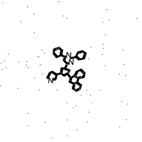 c1ccc(-c2cc(-c3cc(-c4cccnc4)cc(-c4cc5ccccc5c5ccccc45)c3)nc(-c3ccccc3)n2)cc1